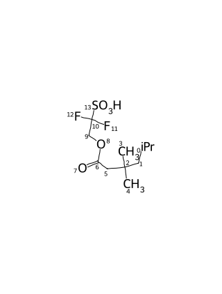 CC(C)CC(C)(C)CC(=O)OCC(F)(F)S(=O)(=O)O